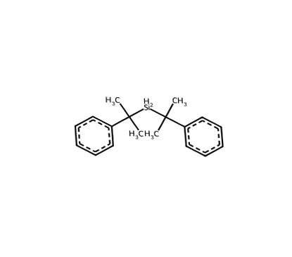 CC(C)([SiH2]C(C)(C)c1ccccc1)c1ccccc1